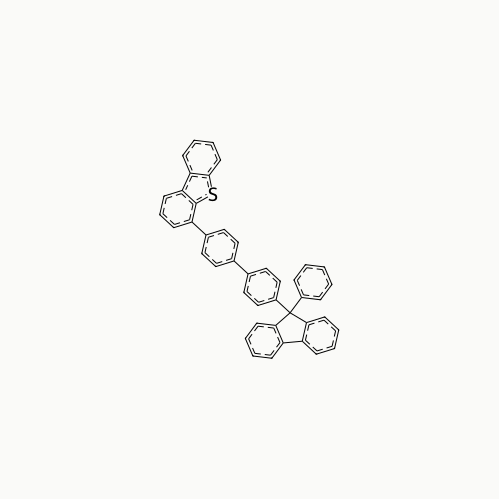 c1ccc(C2(c3ccc(-c4ccc(-c5cccc6c5sc5ccccc56)cc4)cc3)c3ccccc3-c3ccccc32)cc1